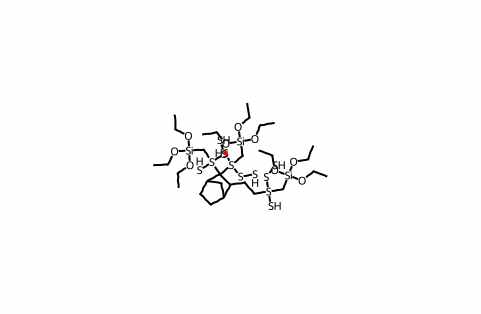 CCO[Si](CS(S)(CCC1C2CCC(C2)C1(S(S)(C[Si](OCC)(OCC)OCC)SS)S(S)(C[Si](OCC)(OCC)OCC)SS)SS)(OCC)OCC